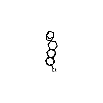 CCc1ccc2cc3c(cc2c1)CCC1(CC2=CCC1C2)C3